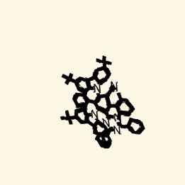 Cc1cccc(C)c1-c1c(C#N)c(-n2c3ccc(C(C)(C)C)cc3c3cc(C(C)(C)C)ccc32)c(-c2c(C)cccc2C)c(-n2c3ccc(C(C)(C)C)cc3c3cc(C(C)(C)C)ccc32)c1-c1nc(-c2ccccc2)nc(-c2ccccc2)n1